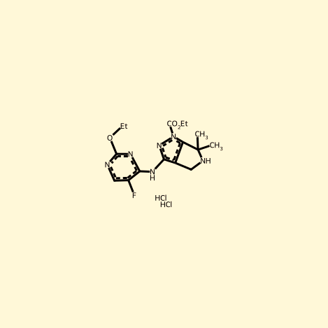 CCOC(=O)n1nc(Nc2nc(OCC)ncc2F)c2c1C(C)(C)NC2.Cl.Cl